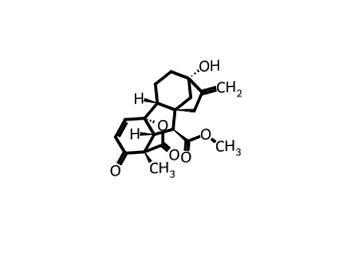 C=C1C[C@]23C[C@@]1(O)CC[C@H]2[C@@]12C=CC(=O)[C@@](C)(C(=O)O1)[C@H]2[C@@H]3C(=O)OC